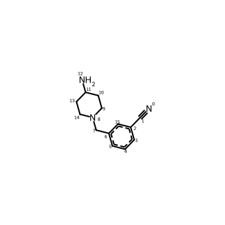 N#Cc1cccc(CN2CCC(N)CC2)c1